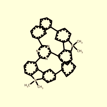 C[Si]1(C)c2ccc(-c3ccccc3)cc2-c2c(-c3nc(-c4ccccc4)nc(-c4cccc5c4-c4cc(-c6ccccc6)ccc4[Si]5(C)C)n3)cccc21